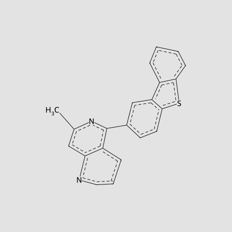 Cc1cc2ncccc2c(-c2ccc3sc4ccccc4c3c2)n1